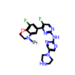 CC(C)N1CCOc2c(F)cc(-c3nc(Nc4ncc(N5CCNCC5)cn4)ncc3F)cc21